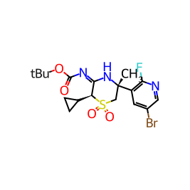 CC(C)(C)OC(=O)/N=C1/N[C@](C)(c2cc(Br)cnc2F)CS(=O)(=O)[C@H]1C1CC1